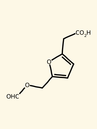 O=COCc1ccc(CC(=O)O)o1